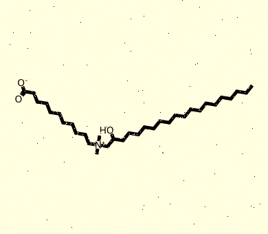 CCCCCCCCCCCCCCCCCCC(O)C[N+](C)(C)CCCCCCCCCCC(=O)[O-]